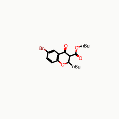 CCCCOC(=O)C1C(=O)c2cc(Br)ccc2OC1CCCC